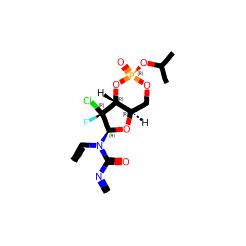 C=CN(C(=O)N=C)[C@@H]1O[C@@H]2CO[P@](=O)(OC(C)C)O[C@H]2[C@@]1(F)Cl